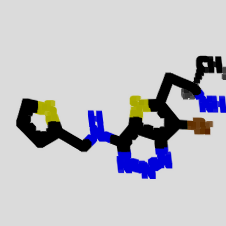 C[C@H](N)Cc1sc2c(NCc3cccs3)nnnc2c1Br